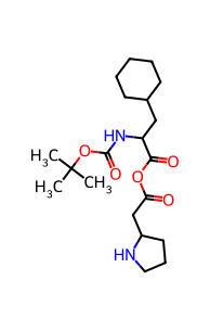 CC(C)(C)OC(=O)NC(CC1CCCCC1)C(=O)OC(=O)CC1CCCN1